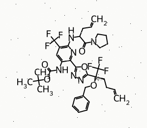 C=CCC[C@@](OCc1ccccc1)(c1nnc(-c2nc(NC(CC=C)C(=O)N3CCCC3)c(C(F)(F)F)cc2NC(=O)OC(C)(C)C)o1)C(F)(F)F